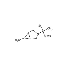 CCCCCCC(C)(CC)N1CC2C(N)C2C1